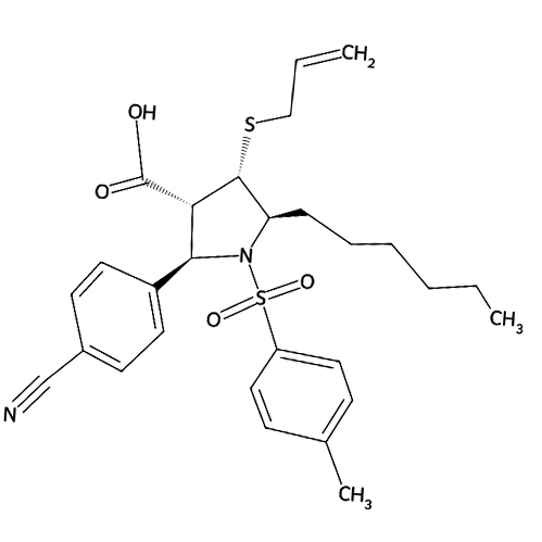 C=CCS[C@H]1[C@@H](C(=O)O)[C@H](c2ccc(C#N)cc2)N(S(=O)(=O)c2ccc(C)cc2)[C@@H]1CCCCCC